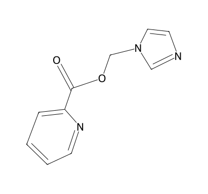 O=C(OCn1ccnc1)c1ccccn1